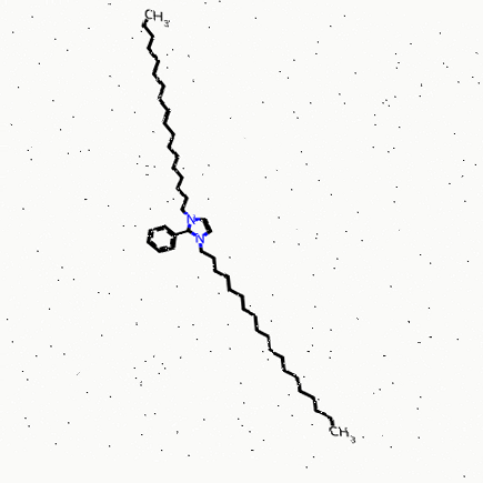 CCCCCCCCCCCCCCCCCCCN1C=CN(CCCCCCCCCCCCCCCCCC)C1c1ccccc1